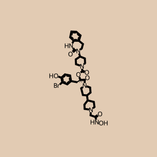 O=C(CN1CCC(C2CCN(C(=O)[C@@H](Cc3ccc(O)c(Br)c3)OC(=O)N3CCC(N4CCc5ccccc5NC4=O)CC3)CC2)CC1)NO